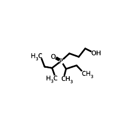 CCC(C)P(=O)(CCCO)C(C)CC